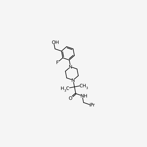 CC(C)CNC(=O)C(C)(C)N1CCN(c2cccc(CO)c2F)CC1